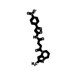 Cc1cc2n(n1)CCCN2C(=O)CCC(=O)Nc1cc(-c2ccc([N+](=O)[O-])cc2)no1